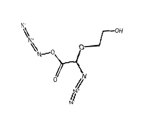 [N-]=[N+]=NOC(=O)C(N=[N+]=[N-])OCCO